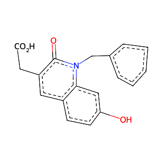 O=C(O)Cc1cc2ccc(O)cc2n(Cc2ccccc2)c1=O